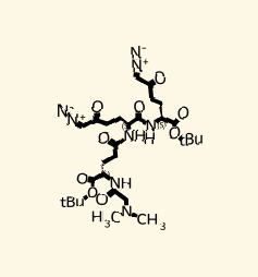 CN(C)CC(=O)N[C@@H](CCC(=O)N[C@@H](CCC(=O)C=[N+]=[N-])C(=O)N[C@@H](CCC(=O)C=[N+]=[N-])C(=O)OC(C)(C)C)C(=O)OC(C)(C)C